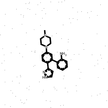 CN1CCN(c2ccc(-c3cc[nH]n3)c(-c3ccccc3N)c2)CC1